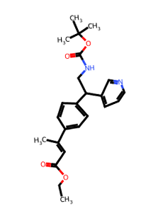 CCOC(=O)C=C(C)c1ccc(C(CNC(=O)OC(C)(C)C)c2cccnc2)cc1